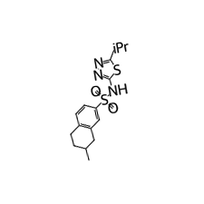 CC1CCc2ccc(S(=O)(=O)Nc3nnc(C(C)C)s3)cc2C1